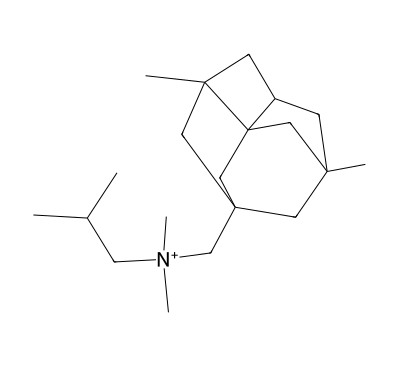 CC(C)C[N+](C)(C)CC12CC3(C)CC4CC(C)(C1)C4(C3)C2